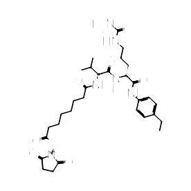 CCc1ccc(NC(=O)[C@H](CCCNC(N)=O)NC(=O)[C@@H](NC(=O)CCCCCCC(=O)ON2C(=O)CCC2=O)C(C)C)cc1